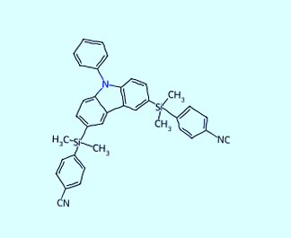 [C-]#[N+]c1ccc([Si](C)(C)c2ccc3c(c2)c2cc([Si](C)(C)c4ccc(C#N)cc4)ccc2n3-c2ccccc2)cc1